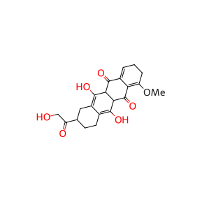 COC1=C2C(=O)C3C(O)=C4CCC(C(=O)CO)CC4=C(O)C3C(=O)C2=CCC1